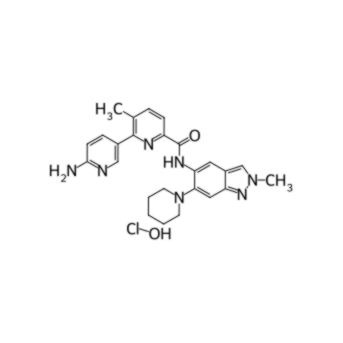 Cc1ccc(C(=O)Nc2cc3cn(C)nc3cc2N2CCCCC2)nc1-c1ccc(N)nc1.OCl